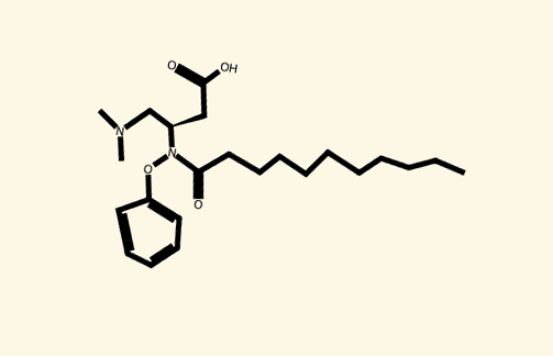 CCCCCCCCCCC(=O)N(Oc1ccccc1)[C@H](CC(=O)O)CN(C)C